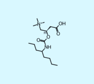 CCCCC(CCC)NC(=O)O[C@H](CC(=O)O)C[N+](C)(C)C